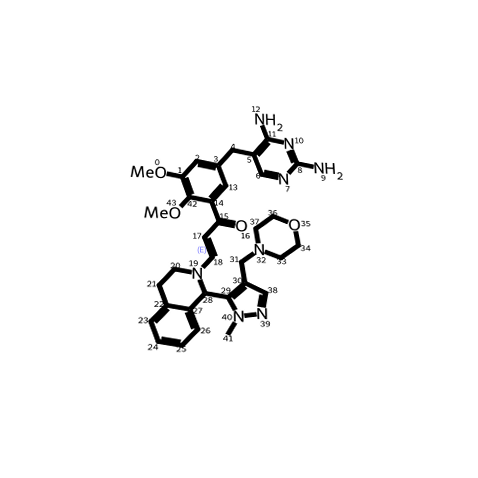 COc1cc(Cc2cnc(N)nc2N)cc(C(=O)/C=C/N2CCc3ccccc3C2c2c(CN3CCOCC3)cnn2C)c1OC